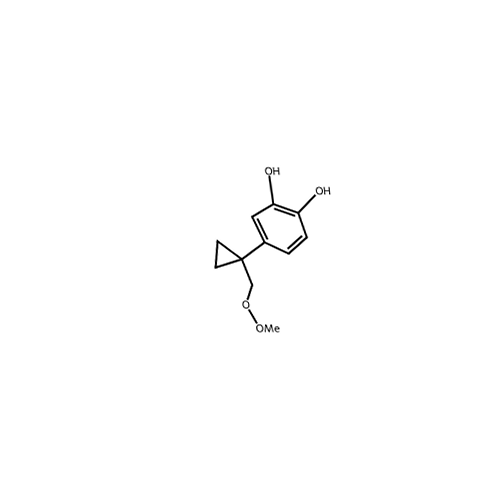 COOCC1(c2ccc(O)c(O)c2)CC1